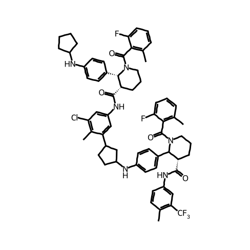 Cc1ccc(NC(=O)[C@H]2CCCN(C(=O)c3c(C)cccc3F)C2c2ccc(NC3CCC(c4cc(NC(=O)[C@H]5CCCN(C(=O)c6c(C)cccc6F)[C@H]5c5ccc(NC6CCCC6)cc5)cc(Cl)c4C)C3)cc2)cc1C(F)(F)F